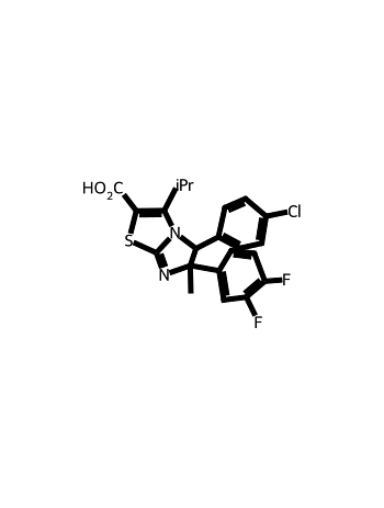 CC(C)C1=C(C(=O)O)SC2=NC(C)(c3ccc(F)c(F)c3)C(c3ccc(Cl)cc3)N21